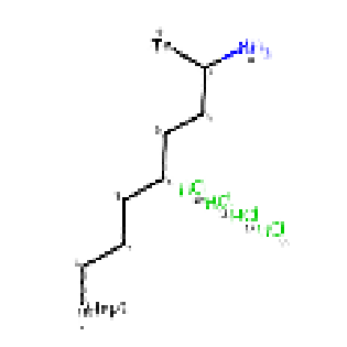 CCCCCCCCCCCCCC(N)[Te].Cl.Cl.Cl.Cl